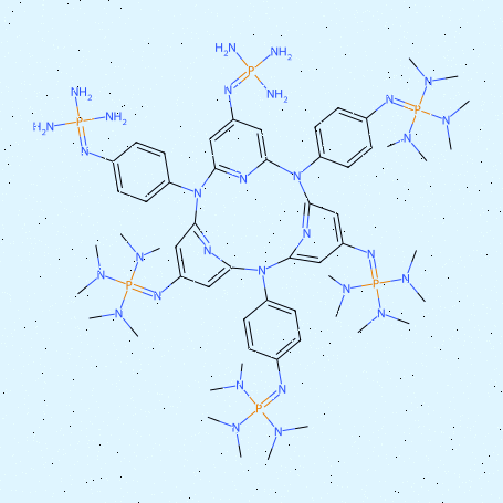 CN(C)P(=Nc1ccc(N2c3cc(N=P(N)(N)N)cc(n3)N(c3ccc(N=P(N)(N)N)cc3)c3cc(N=P(N(C)C)(N(C)C)N(C)C)cc(n3)N(c3ccc(N=P(N(C)C)(N(C)C)N(C)C)cc3)c3cc(N=P(N(C)C)(N(C)C)N(C)C)cc2n3)cc1)(N(C)C)N(C)C